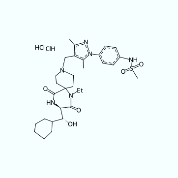 CCN1C(=O)[C@@H]([C@H](O)C2CCCCC2)NC(=O)C12CCN(Cc1c(C)nn(-c3ccc(NS(C)(=O)=O)cc3)c1C)CC2.Cl.Cl